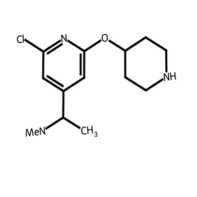 CNC(C)c1cc(Cl)nc(OC2CCNCC2)c1